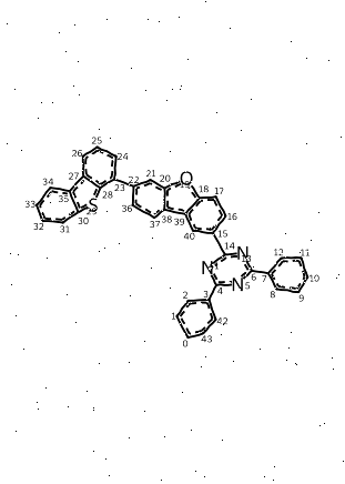 c1ccc(-c2nc(-c3ccccc3)nc(-c3ccc4oc5cc(-c6cccc7c6sc6ccccc67)ccc5c4c3)n2)cc1